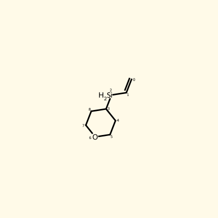 C=C[SiH2]C1CCOCC1